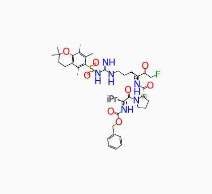 Cc1c(C)c(S(=O)(=O)NC(=N)NCCC[C@H](NC(=O)[C@@H]2CCCN2C(=O)[C@@H](NC(=O)OCc2ccccc2)C(C)C)C(=O)CF)c(C)c2c1OC(C)(C)CC2